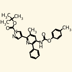 Cc1ccc(OC(=O)Nc2cc(C)c(-c3cnn(C(=O)OC(C)(C)C)c3)nc2-c2ccccc2)cc1